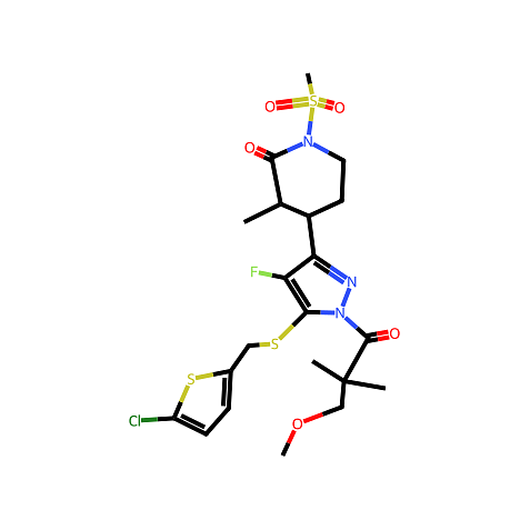 COCC(C)(C)C(=O)n1nc(C2CCN(S(C)(=O)=O)C(=O)C2C)c(F)c1SCc1ccc(Cl)s1